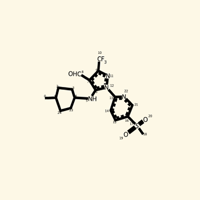 CC1CCC(Nc2c(C=O)c(C(F)(F)F)nn2-c2ccc(S(C)(=O)=O)cn2)CC1